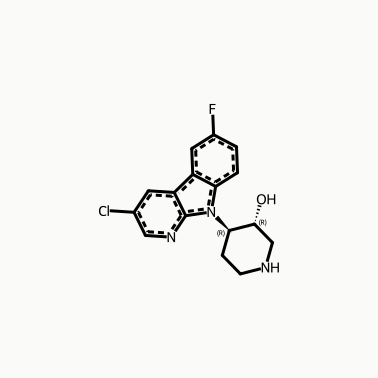 O[C@@H]1CNCC[C@H]1n1c2ccc(F)cc2c2cc(Cl)cnc21